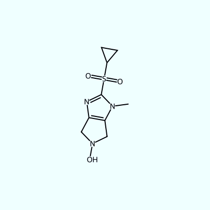 Cn1c(S(=O)(=O)C2CC2)nc2c1CN(O)C2